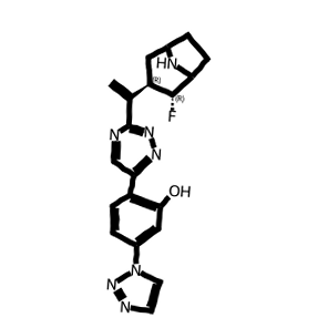 C=C(c1ncc(-c2ccc(-n3ccnn3)cc2O)nn1)[C@H]1CC2CCC(N2)[C@@H]1F